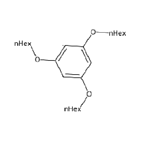 CCCCCCOc1[c]c(OCCCCCC)cc(OCCCCCC)c1